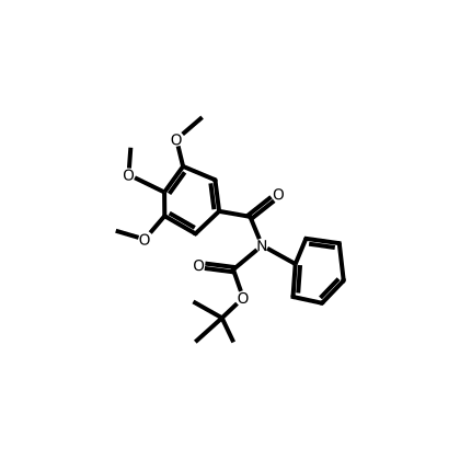 COc1cc(C(=O)N(C(=O)OC(C)(C)C)c2ccccc2)cc(OC)c1OC